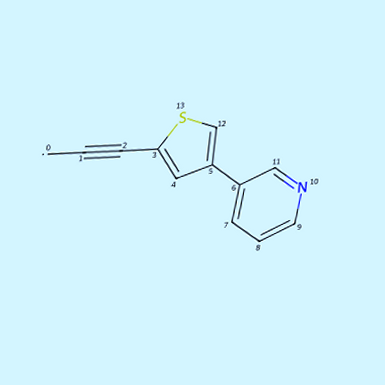 [CH2]C#Cc1cc(-c2cccnc2)cs1